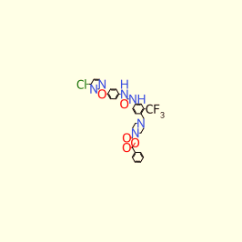 O=C(Nc1ccc(Oc2nccc(Cl)n2)cc1)Nc1ccc(CN2CCN(C(=O)OC(=O)c3ccccc3)CC2)c(C(F)(F)F)c1